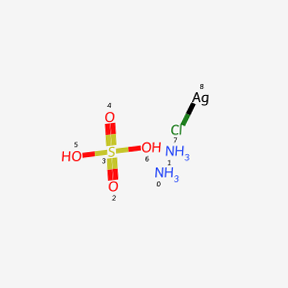 N.N.O=S(=O)(O)O.[Cl][Ag]